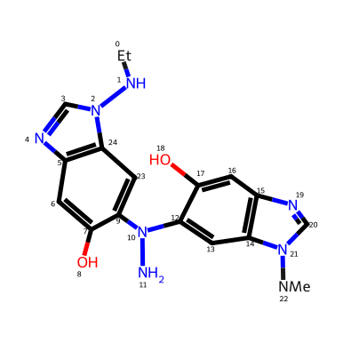 CCNn1cnc2cc(O)c(N(N)c3cc4c(cc3O)ncn4NC)cc21